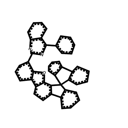 c1ccc(-c2nc(-c3cccc4c3oc3c5c(ccc34)-c3ccccc3C53c4ccccc4-c4ccccc43)nc3ccccc23)cc1